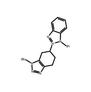 CC(C)n1c2ccccc2n[n+]1C1CCc2nnn(C(C)(C)C)c2C1